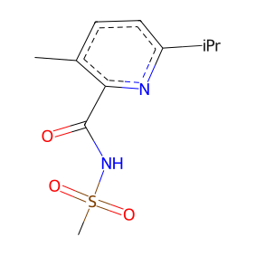 Cc1ccc(C(C)C)nc1C(=O)NS(C)(=O)=O